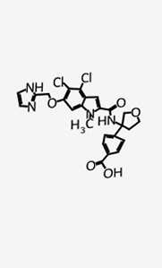 Cn1c(C(=O)NC2(c3ccc(C(=O)O)cc3)CCOC2)cc2c(Cl)c(Cl)c(OCc3ncc[nH]3)cc21